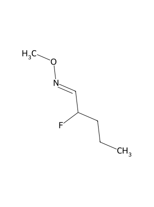 CCCC(F)C=NOC